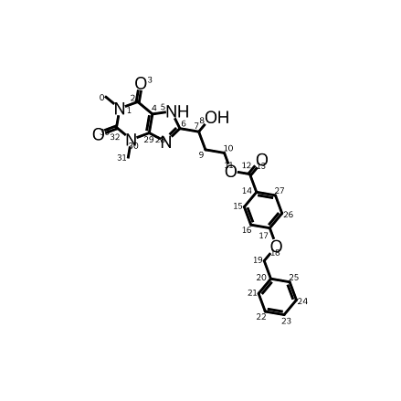 Cn1c(=O)c2[nH]c(C(O)CCOC(=O)c3ccc(OCc4ccccc4)cc3)nc2n(C)c1=O